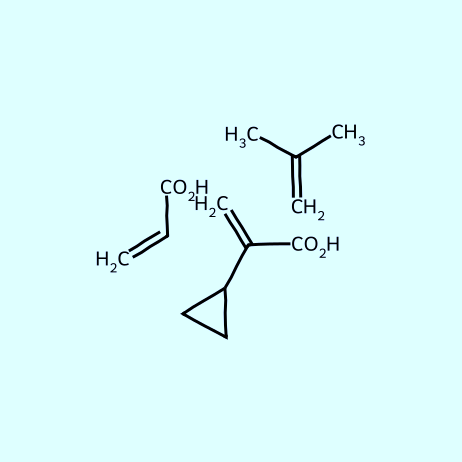 C=C(C(=O)O)C1CC1.C=C(C)C.C=CC(=O)O